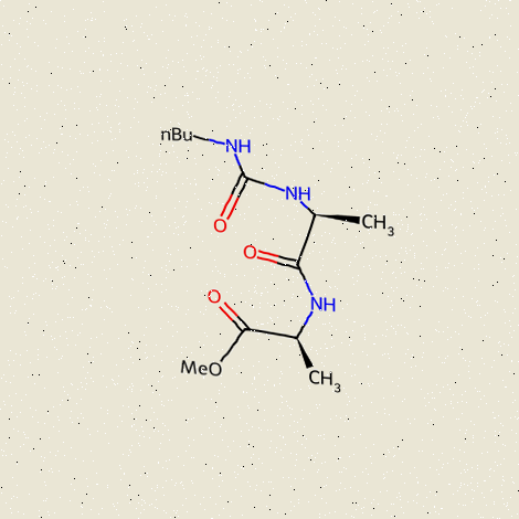 CCCCNC(=O)N[C@@H](C)C(=O)N[C@@H](C)C(=O)OC